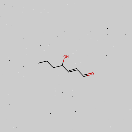 CCCC(O)C=CC=O